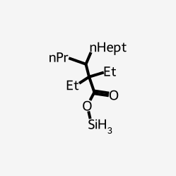 CCCCCCCC(CCC)C(CC)(CC)C(=O)O[SiH3]